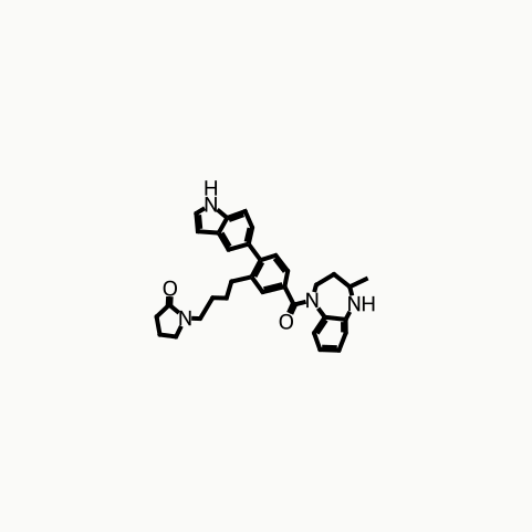 CC1CCN(C(=O)c2ccc(-c3ccc4[nH]ccc4c3)c(CCCCN3CCCC3=O)c2)c2ccccc2N1